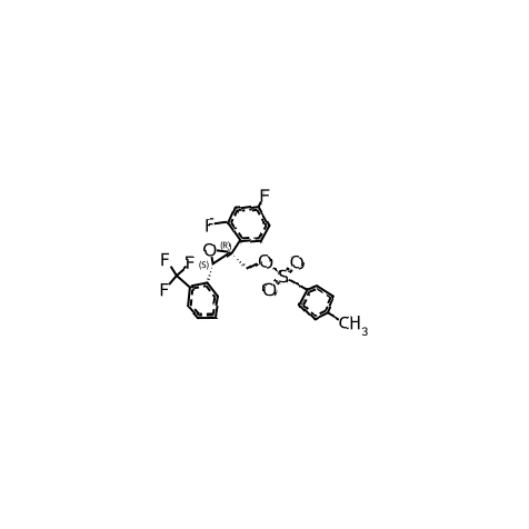 Cc1ccc(S(=O)(=O)OC[C@@]2(c3ccc(F)cc3F)O[C@H]2c2ccccc2C(F)(F)F)cc1